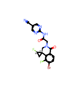 N#Cc1cnc(NC(=O)CN2C[C@]3(C[C@H]3F)c3c(ccc(Br)c3F)C2=O)nc1